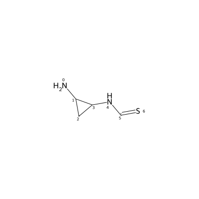 NC1CC1N[C]=S